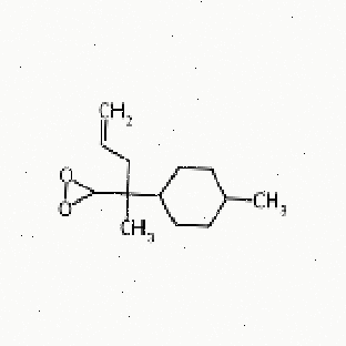 C=CCC(C)(C1CCC(C)CC1)C1OO1